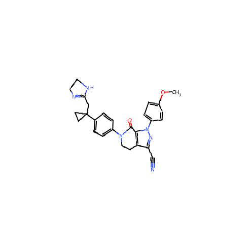 COc1ccc(-n2nc(C#N)c3c2C(=O)N(c2ccc(C4(CC5=NCCN5)CC4)cc2)CC3)cc1